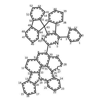 c1ccc(-c2nc(-c3cc4ccc5c6ccccc6n6c7ccccc7c7cccc3c7c4c56)nc3c2-c2ccccc2C32c3ccccc3-c3ccccc32)cc1